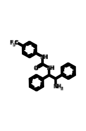 NC(c1ccccc1)C(NC(=O)Nc1ccc(C(F)(F)F)cc1)c1ccccc1